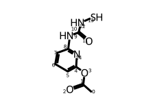 CC(=O)Oc1cccc(NC(=O)NS)n1